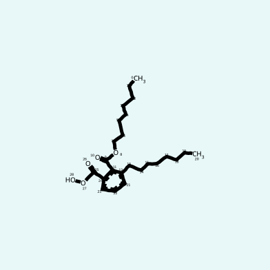 CCCCCCCCOC(=O)c1c(CCCCCCCC)cccc1C(=O)OO